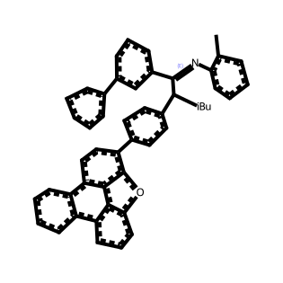 CCC(C)C(/C(=N\c1ccccc1C)c1cccc(-c2ccccc2)c1)c1ccc(-c2ccc3c4ccccc4c4cccc5oc2c3c54)cc1